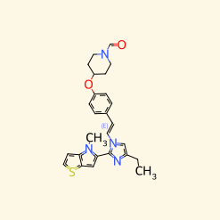 CCc1cn(/C=C/c2ccc(OC3CCN(C=O)CC3)cc2)c(-c2cc3sccc3n2C)n1